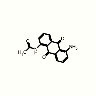 CC(=O)Nc1cccc2c1C(=O)c1cccc(N)c1C2=O